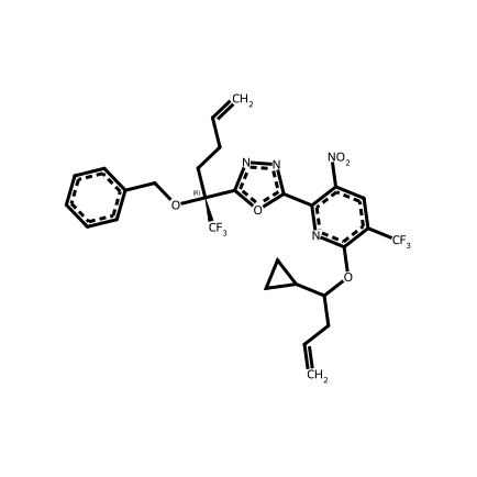 C=CCC[C@@](OCc1ccccc1)(c1nnc(-c2nc(OC(CC=C)C3CC3)c(C(F)(F)F)cc2[N+](=O)[O-])o1)C(F)(F)F